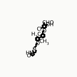 Cc1c(COc2cc(O)c(C=O)cc2Cl)cccc1-c1cccc(OCCCN2CCC3(CCC(=O)N3)C2)c1C